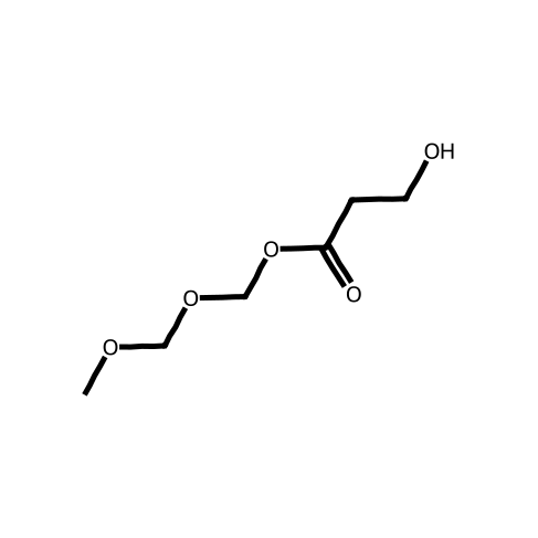 COCOCOC(=O)CCO